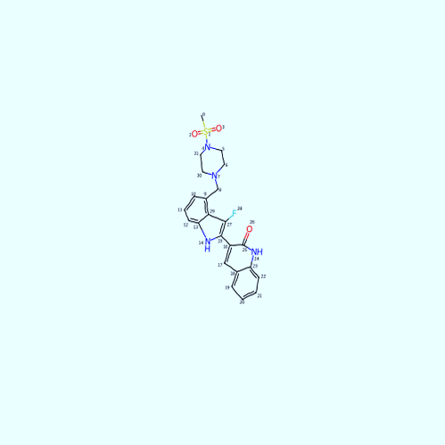 CS(=O)(=O)N1CCN(Cc2cccc3[nH]c(-c4cc5ccccc5[nH]c4=O)c(F)c23)CC1